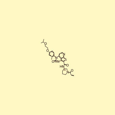 C=CC(=O)N1CCC[C@@H](NC(=O)c2sc3nccc4c3c2NC(=O)N4c2ccc(OCCOC(C)C)cc2C)C1